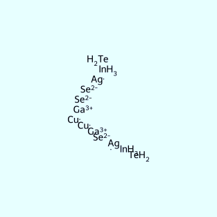 [Ag].[Ag].[Cu].[Cu].[Ga+3].[Ga+3].[InH3].[InH3].[Se-2].[Se-2].[Se-2].[TeH2].[TeH2]